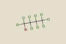 ClC(Cl)(Cl)C(Cl)(Cl)C(Cl)(Cl)C(Cl)(Cl)Br